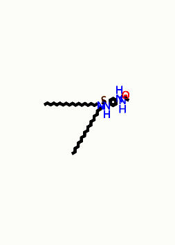 CCCCCCCCCCCCCCCCCCN(CCCCCCCCCCCCCCCCCC)C(=S)Nc1ccc(NNC(C)=O)cc1